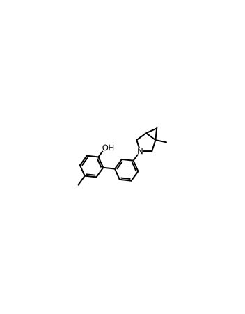 Cc1ccc(O)c(-c2cccc(N3CC4CC4(C)C3)c2)c1